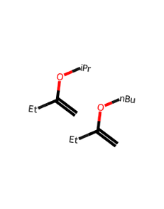 C=C(CC)OC(C)C.C=C(CC)OCCCC